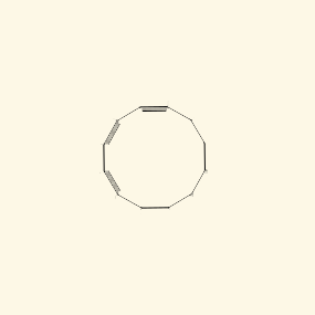 [CH]1CCC=CC=CC=CCCC1